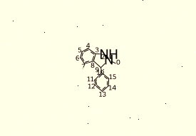 CN1Nc2ccccc2C1c1ccccc1